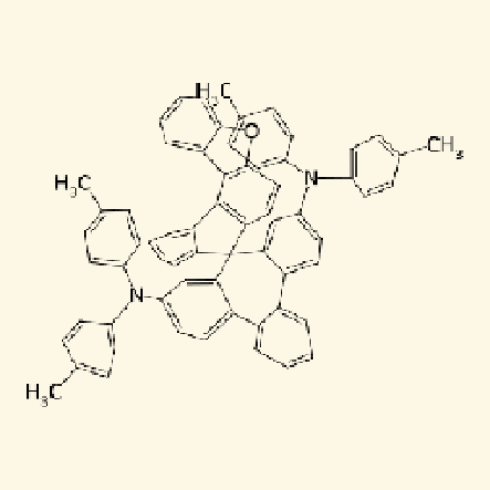 Cc1ccc(N(c2ccc(C)cc2)c2ccc3c(c2)C2(c4cc(N(c5ccc(C)cc5)c5ccc(C)cc5)ccc4-c4ccccc4-3)c3ccccc3-c3c2ccc2oc4ccccc4c32)cc1